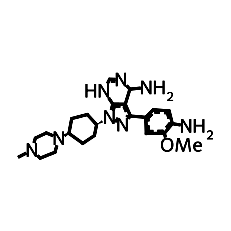 COc1cc(-c2nn([C@H]3CC[C@H](N4CCN(C)CC4)CC3)c3c2C(N)N=CN3)ccc1N